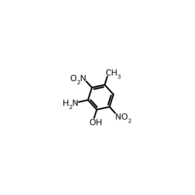 Cc1cc([N+](=O)[O-])c(O)c(N)c1[N+](=O)[O-]